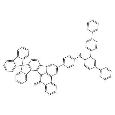 O=c1c2ccccc2c2cc(-c3ccc(NC4C=CC(c5ccccc5)=CC4c4ccc(-c5ccccc5)cc4)cc3)cc3c4ccc5c(c4n1c23)-c1ccccc1C51c2ccccc2-c2ccccc21